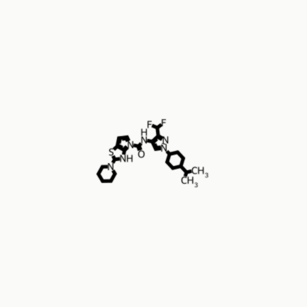 CC(C)C1CCC(n2cc(NC(=O)n3ccc4c3NC(N3CCCCC3)S4)c(C(F)F)n2)CC1